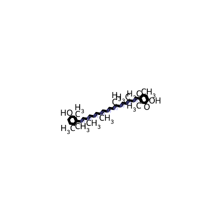 CC1=C(/C=C/C(C)=C/C=C/C(C)=C/C=C/C=C(C)/C=C/C=C(C)/C=C/C2=C(C)C(O)CCC2(C)C)C(C)(C)C=C(O)C1=O